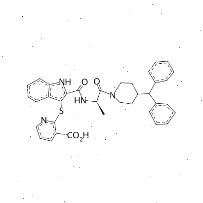 C[C@@H](NC(=O)c1[nH]c2ccccc2c1Sc1ncccc1C(=O)O)C(=O)N1CCC(C(c2ccccc2)c2ccccc2)CC1